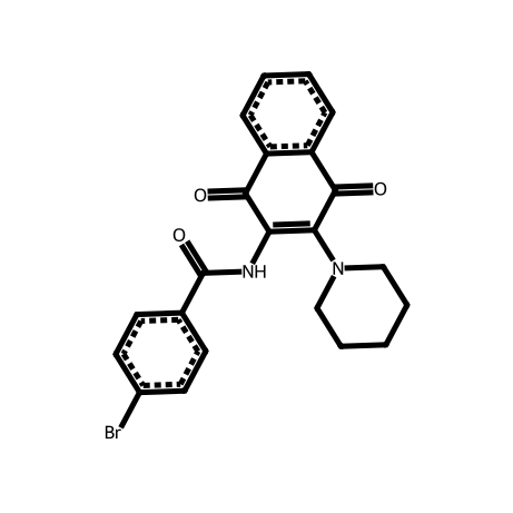 O=C(NC1=C(N2CCCCC2)C(=O)c2ccccc2C1=O)c1ccc(Br)cc1